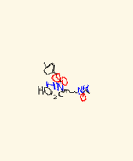 C=CC(=O)NCCCC[C@H](NC(=O)OCc1ccc(C)cc1)C(=O)O